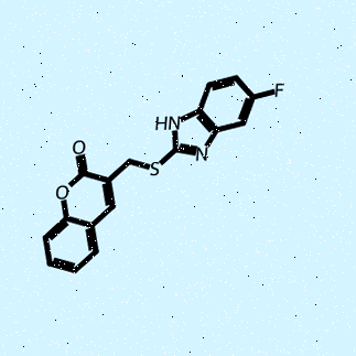 O=c1oc2ccccc2cc1CSc1nc2cc(F)ccc2[nH]1